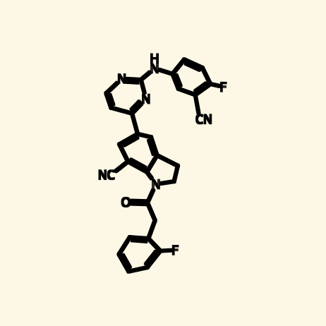 N#Cc1cc(Nc2nccc(-c3cc(C#N)c4c(c3)CCN4C(=O)Cc3ccccc3F)n2)ccc1F